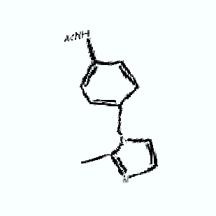 CC(=O)Nc1ccc(-n2ccnc2C)cc1